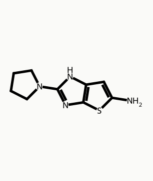 Nc1cc2[nH]c(N3CCCC3)nc2s1